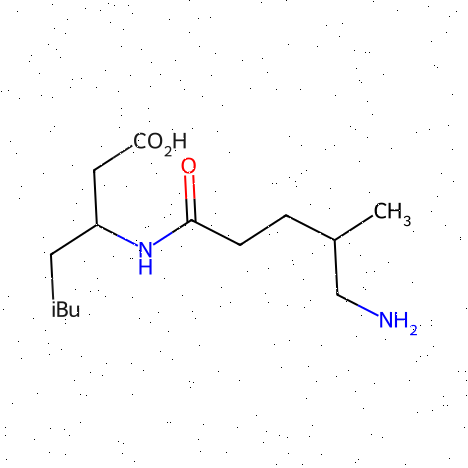 CCC(C)CC(CC(=O)O)NC(=O)CCC(C)CN